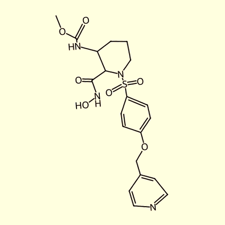 COC(=O)NC1CCCN(S(=O)(=O)c2ccc(OCc3ccncc3)cc2)C1C(=O)NO